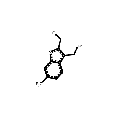 CC(C)Cc1c(CO)sc2cc(C(F)(F)F)ccc12